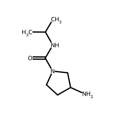 CC(C)NC(=O)N1CCC(N)C1